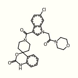 O=C1Nc2ccccc2C2(CCN(C(=O)c3cn(CC(=O)N4CCOCC4)c4cc(Cl)ccc34)CC2)O1